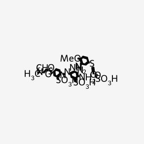 COc1ccc(SC#COOS(=O)(=O)O)cc1N=Nc1c(N)c(N=Nc2ccc(S(=O)(=O)CCN(C)C)cc2S(=O)(=O)O)cc(S(=O)(=O)O)c1N